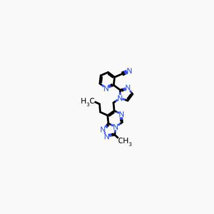 CCCc1c(Cn2ccnc2-c2ncccc2C#N)ncn2c(C)nnc12